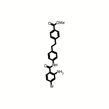 COC(=O)c1ccc(CCc2ccc(NC(=O)c3ccc(Br)cc3N)cc2)cc1